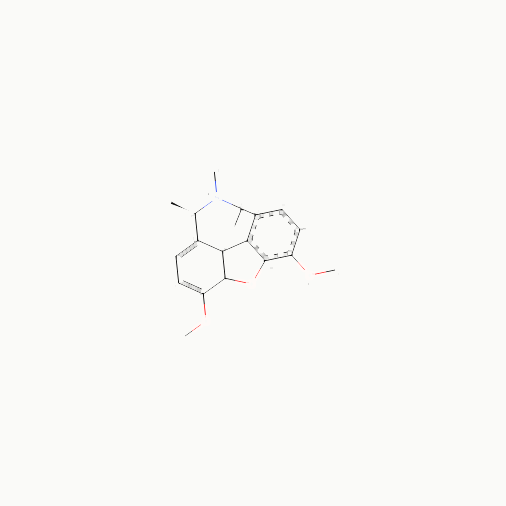 COC1=CC=C2[C@@H](C)N(C)C3C[C@@]24c2c3ccc(OC)c2OC14